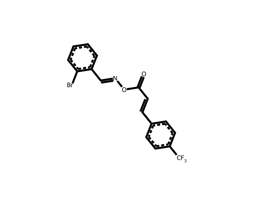 O=C(C=Cc1ccc(C(F)(F)F)cc1)ON=Cc1ccccc1Br